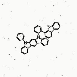 c1ccc(-n2c3ccccc3c3cc4c5ccccc5n(-c5ccccc5-c5cccc6c5sc5ccccc56)c4cc32)cc1